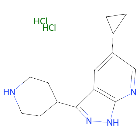 Cl.Cl.c1nc2[nH]nc(C3CCNCC3)c2cc1C1CC1